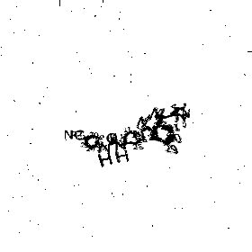 Cn1nccc1-c1nnc(N2CCC(NC(=O)Nc3ccc(C#N)cc3)CC2)c2ccccc12